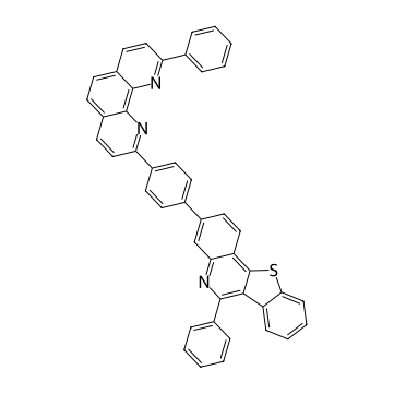 c1ccc(-c2ccc3ccc4ccc(-c5ccc(-c6ccc7c(c6)nc(-c6ccccc6)c6c8ccccc8sc76)cc5)nc4c3n2)cc1